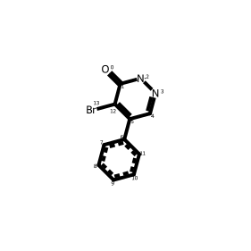 O=C1[N]N=CC(c2ccccc2)=C1Br